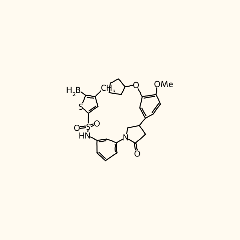 Bc1sc(S(=O)(=O)Nc2cccc(N3CC(c4ccc(OC)c(OC5CCCC5)c4)CC3=O)c2)cc1C